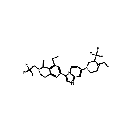 C=C1c2c(CC)cc(-c3cnc4cc(N5CCN(CC)C(C(F)(F)F)C5)ccn34)cc2CCN1CC(F)(F)F